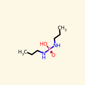 CCCNP(=O)(O)NCCC